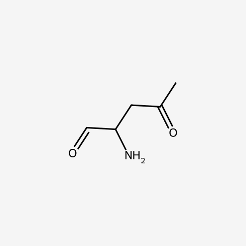 CC(=O)CC(N)C=O